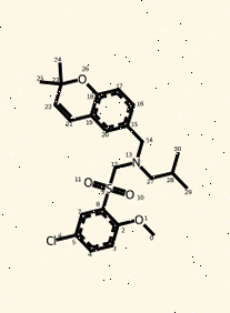 COc1ccc(Cl)cc1S(=O)(=O)CN(Cc1ccc2c(c1)C=CC(C)(C)O2)CC(C)C